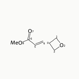 C1COC1.C=CC(=O)OC